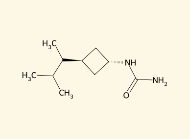 CC(C)C(C)[C@H]1C[C@H](NC(N)=O)C1